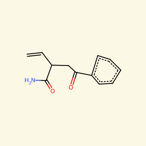 C=CC(CC(=O)c1ccccc1)C(N)=O